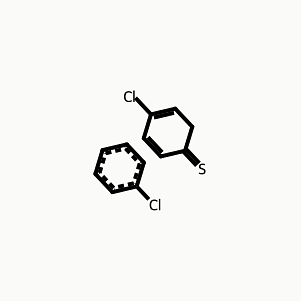 Clc1ccccc1.S=C1C=CC(Cl)=CC1